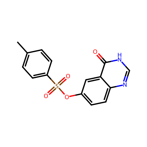 Cc1ccc(S(=O)(=O)Oc2ccc3nc[nH]c(=O)c3c2)cc1